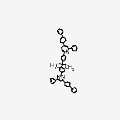 CCC(CC)(c1ccc(C2=CCC(c3ccc(-c4ccccc4)cc3)=CC(c3ccccc3)=N2)cc1)c1ccc(-c2nc(-c3ccccc3)cc(-c3ccc(-c4ccccc4)cc3)n2)cc1